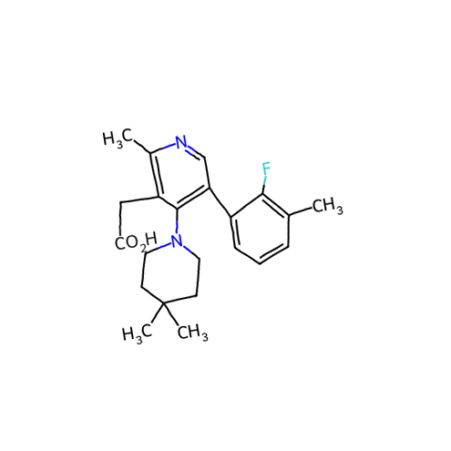 Cc1cccc(-c2cnc(C)c(CC(=O)O)c2N2CCC(C)(C)CC2)c1F